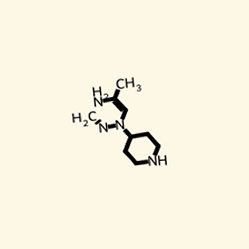 C=NN(/C=C(/C)N)C1CCNCC1